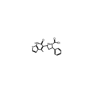 CCC(=O)N1N=C(c2c(C)c3ccsc3[nH]c2=O)CC1c1ccccc1